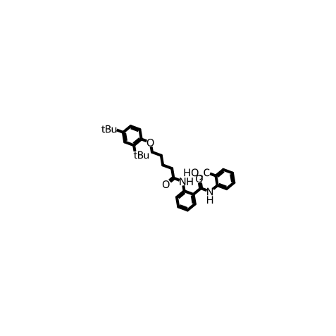 CC(C)(C)c1ccc(OCCCCC(=O)Nc2ccccc2C(=O)Nc2ccccc2C(=O)O)c(C(C)(C)C)c1